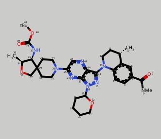 CNC(=O)c1ccc2c(c1)[C@@H](C)CCN2c1nn(C2CCCCO2)c2nc(N3CCC4(CC3)CO[C@@H](C)[C@H]4NC(=O)OC(C)(C)C)cnc12